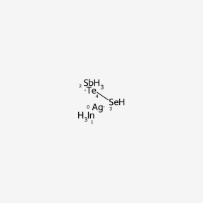 [Ag].[InH3].[SbH3].[SeH][Te]